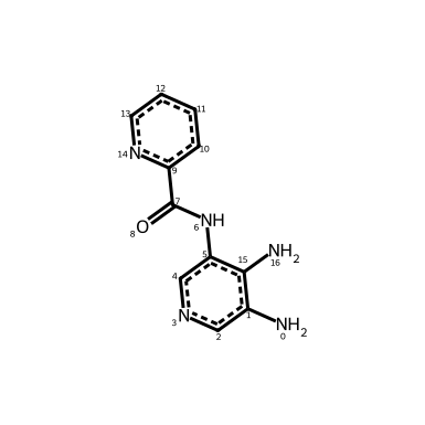 Nc1cncc(NC(=O)c2ccccn2)c1N